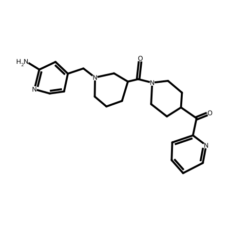 Nc1cc(CN2CCCC(C(=O)N3CCC(C(=O)c4ccccn4)CC3)C2)ccn1